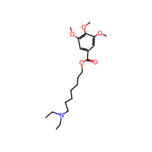 CCN(CC)CCCCCCCOC(=O)c1cc(OC)c(OC)c(OC)c1